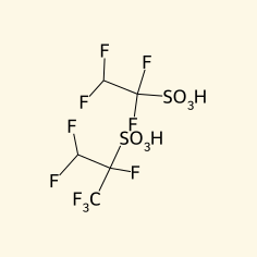 O=S(=O)(O)C(F)(C(F)F)C(F)(F)F.O=S(=O)(O)C(F)(F)C(F)F